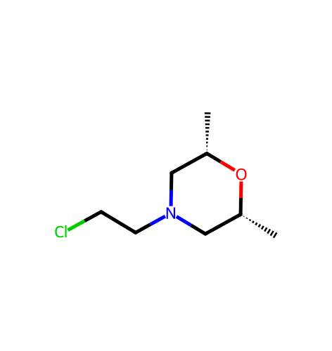 C[C@@H]1CN(CCCl)C[C@H](C)O1